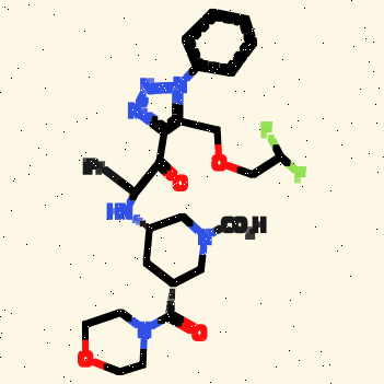 CC(C)C(N[C@H]1C[C@@H](C(=O)N2CCOCC2)CN(C(=O)O)C1)C(=O)c1nnn(-c2ccccc2)c1COCC(F)F